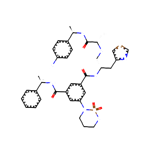 C[C@H](NC[C@H](Cc1cscn1)NC(=O)c1cc(C(=O)N[C@H](C)c2ccccc2)cc(N2CCCNS2(=O)=O)c1)C(=O)N[C@H](C)c1ccc(N)cc1